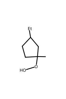 CCC1CCC(C)(OO)C1